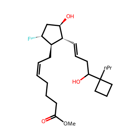 CCCC1(C(O)C/C=C/[C@@H]2[C@@H](C/C=C\CCCC(=O)OC)[C@H](F)C[C@H]2O)CCC1